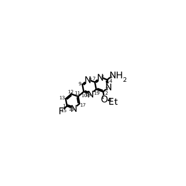 CCOc1nc(N)nc2ncc(-c3ccc(F)nc3)nc12